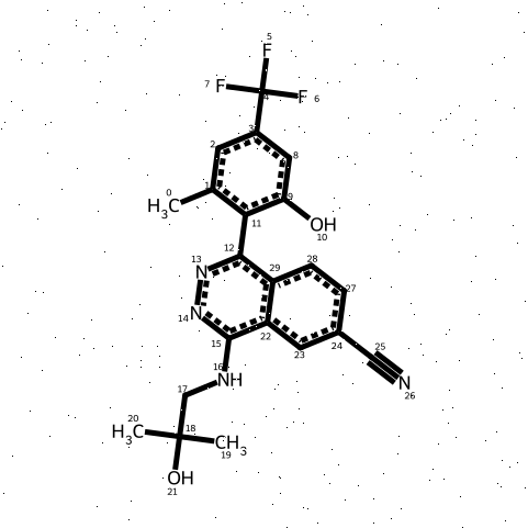 Cc1cc(C(F)(F)F)cc(O)c1-c1nnc(NCC(C)(C)O)c2cc(C#N)ccc12